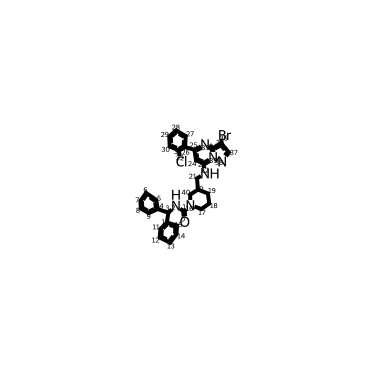 O=C(NC(c1ccccc1)c1ccccc1)N1CCCC(CNc2cc(-c3ccccc3Cl)nc3c(Br)cnn23)C1